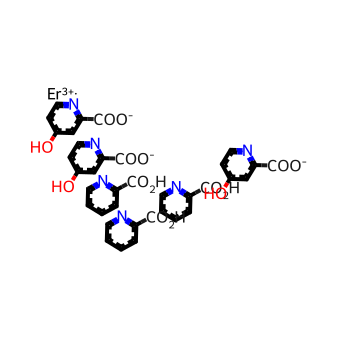 O=C(O)c1ccccn1.O=C(O)c1ccccn1.O=C(O)c1ccccn1.O=C([O-])c1cc(O)ccn1.O=C([O-])c1cc(O)ccn1.O=C([O-])c1cc(O)ccn1.[Er+3]